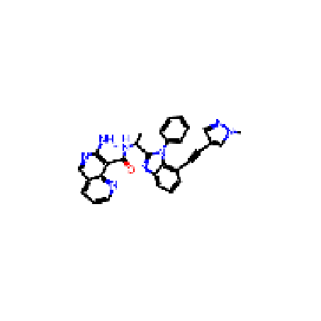 CC(NC(=O)c1c(N)ncc2cccnc12)c1nc2cccc(C#Cc3cnn(C)c3)c2n1-c1ccccc1